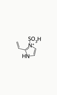 C=Cc1[nH]cc[n+]1S(=O)(=O)O